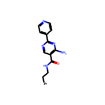 CC(C)CCNC(=O)c1cnc(-c2ccncc2)nc1N